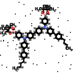 CCCCc1ccc(-c2ccc(N(c3ccc(B4OC(C)(C)C(C)(C)O4)cc3)c3ccc(-c4ccc(N(c5ccc(B6OC(C)(C)C(C)(C)O6)cc5)c5ccc(-c6ccc(CCCC)cc6)cc5)cc4)cc3)cc2)cc1